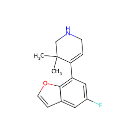 CC1(C)CNCC=C1c1cc(F)cc2ccoc12